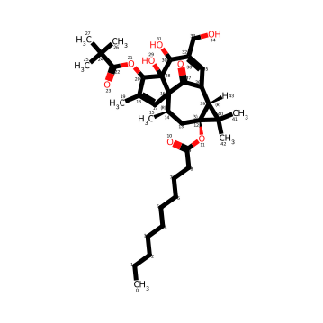 CCCCCCCCCC(=O)O[C@@]12C[C@@H](C)C34C=C(C)C(OC(=O)C(C)(C)C)C3(O)C(O)C(CO)=CC(C4=O)[C@@H]1C2(C)C